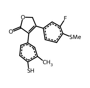 CSc1ccc(C2=C(c3ccc(S)c(C)c3)C(=O)OC2)cc1F